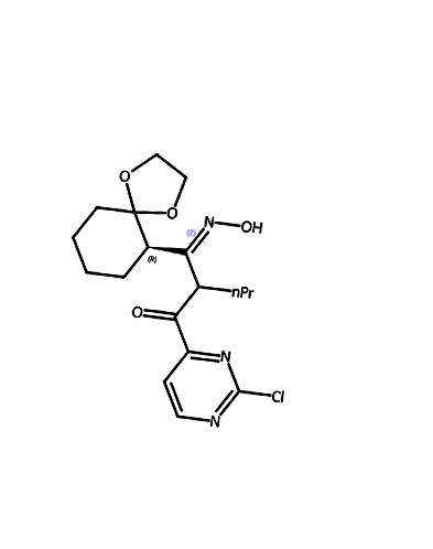 CCCC(C(=O)c1ccnc(Cl)n1)/C(=N\O)[C@H]1CCCCC12OCCO2